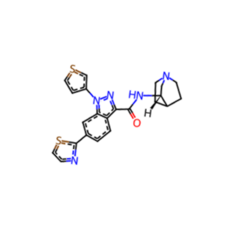 O=C(N[C@@H]1CN2CCC1CC2)c1nn(-c2ccsc2)c2cc(-c3nccs3)ccc12